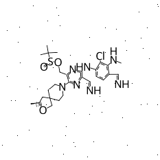 CNc1c(C=N)ccc(Nc2nc(COS(=O)C(C)(C)C)c(N3CCC4(CC3)CO[C@@H](C)C4)nc2C=N)c1Cl